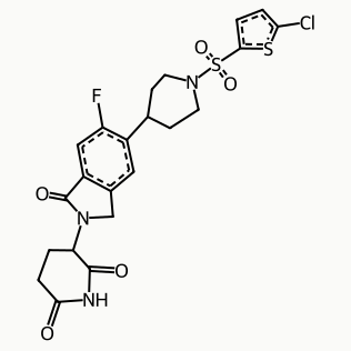 O=C1CCC(N2Cc3cc(C4CCN(S(=O)(=O)c5ccc(Cl)s5)CC4)c(F)cc3C2=O)C(=O)N1